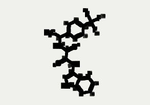 CC(NC(=O)C(=O)Nc1c[nH]c2cccnc12)c1ccc(C(F)(F)F)cc1